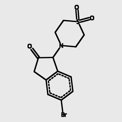 O=C1Cc2cc(Br)ccc2C1N1CCS(=O)(=O)CC1